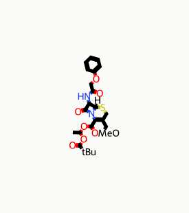 COCC1=C(C(=O)OC(C)OC(=O)C(C)(C)C)N2C(=O)C(NC(=O)COc3ccccc3)[C@@H]2SC1